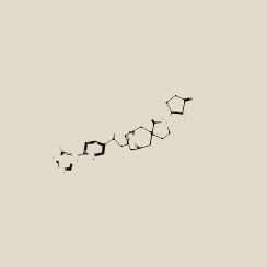 C=C1CCC(N2CCC3(CC4CCC(C3)N4CC(O)c3ccc(-n4cnnn4)nc3)C2=O)=C1C